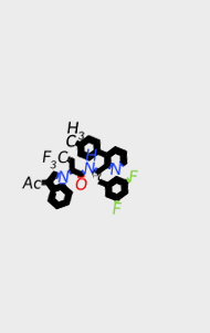 CC(=O)c1cn(C(CC(F)(F)F)C(=O)N[C@@H](Cc2cc(F)cc(F)c2)c2ncccc2-c2ccc(C)cc2)c2ccccc12